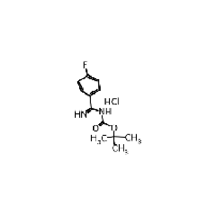 CC(C)(C)OC(=O)NC(=N)c1ccc(F)cc1.Cl